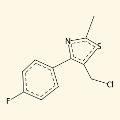 Cc1nc(-c2ccc(F)cc2)c(CCl)s1